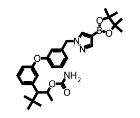 CC(OC(N)=O)C(c1cccc(Oc2cccc(Cn3cc(B4OC(C)(C)C(C)(C)O4)cn3)c2)c1)C(C)(C)C